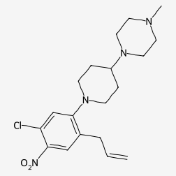 C=CCc1cc([N+](=O)[O-])c(Cl)cc1N1CCC(N2CCN(C)CC2)CC1